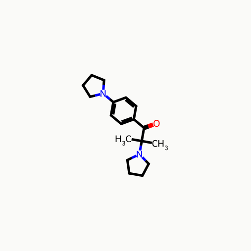 CC(C)(C(=O)c1ccc(N2CCCC2)cc1)N1CCCC1